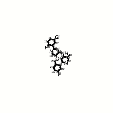 Cc1cnccc1Nc1nc(-c2cc(Cl)ccc2F)ncc1OCc1ccc(F)cc1